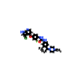 CC(c1ccc(NC(=O)Nc2ccc(Oc3ccnc4[nH]cc(Cl)c34)cc2F)cc1C(F)(F)F)N1CCN(C)CC1